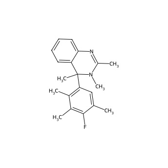 CC1=Nc2ccccc2C(C)(c2cc(C)c(F)c(C)c2C)N1C